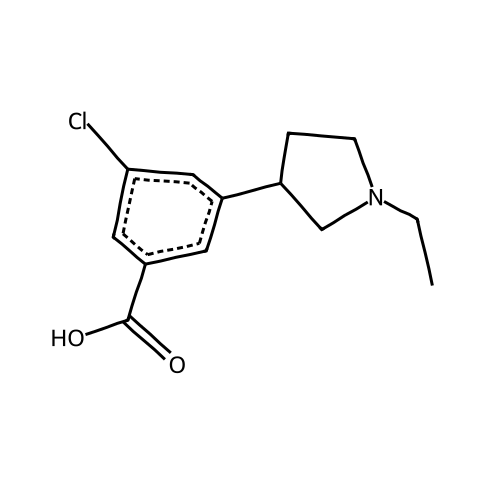 CCN1CCC(c2cc(Cl)cc(C(=O)O)c2)C1